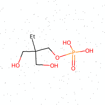 CCC(CO)(CO)COP(=O)(O)O